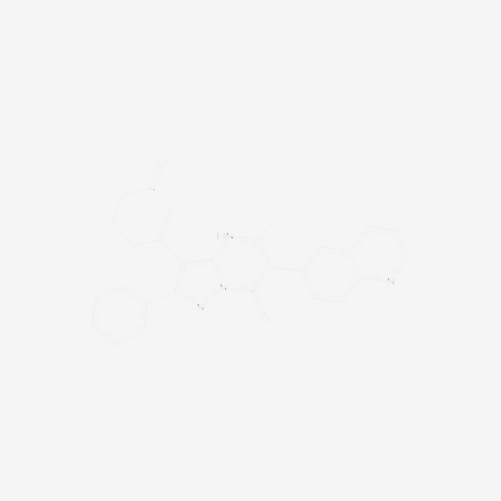 Cc1[nH]c2c(C3=CC(=O)CCC3)c(-c3ccccc3)nn2c(=O)c1-c1ccc2ncccc2c1